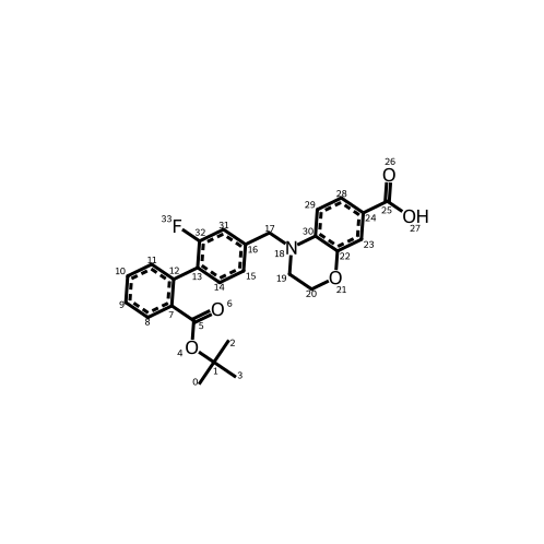 CC(C)(C)OC(=O)c1ccccc1-c1ccc(CN2CCOc3cc(C(=O)O)ccc32)cc1F